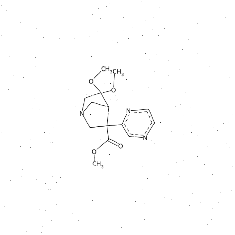 COC(=O)C1(c2cnccn2)CN2CC1C(OC)(OC)C2